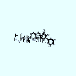 CC(C)(C)OC(=O)N1CC[C@@H](Cn2ccc(-c3ccccc3)cc2=O)C(C)(C)C1